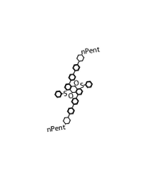 CCCCCC1CCC(c2ccc(-c3ccc(-c4ccc(Sc5ccccc5)c5c4C(=O)c4c(Sc6ccccc6)ccc(-c6ccc(-c7ccc(C8CCC(CCCCC)CC8)cc7)cc6)c4C5=O)cc3)cc2)CC1